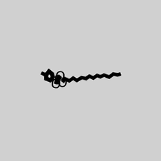 CCCCCCCCCCCCCCCOS(=O)(=O)c1ccc(C)cc1